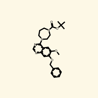 COc1cc2c(N3CCCN(C(=O)OC(C)(C)C)CC3)ncnc2cc1OCc1ccccc1